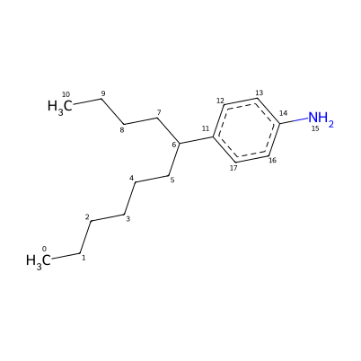 CCCCCCC(CCCC)c1ccc(N)cc1